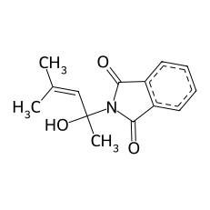 CC(C)=CC(C)(O)N1C(=O)c2ccccc2C1=O